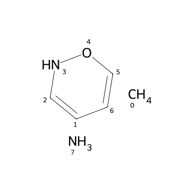 C.C1=CNOC=C1.N